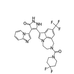 O=C(N1CCC(F)(F)CC1)N1CCn2cc(-c3[nH][nH]c(=O)c3-c3cnc4ccccn34)c3cc(C(F)(F)F)cc(c32)C1